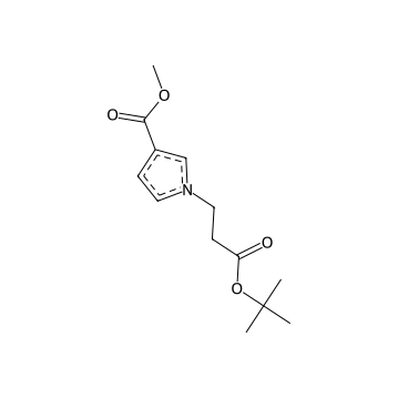 COC(=O)c1ccn(CCC(=O)OC(C)(C)C)c1